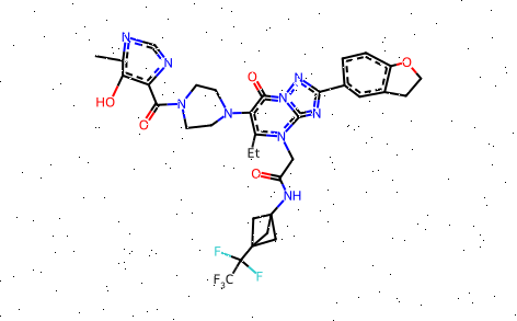 CCc1c(N2CCN(C(=O)c3ncnc(C)c3O)CC2)c(=O)n2nc(-c3ccc4c(c3)CCO4)nc2n1CC(=O)NC12CC(C(F)(F)C(F)(F)F)(C1)C2